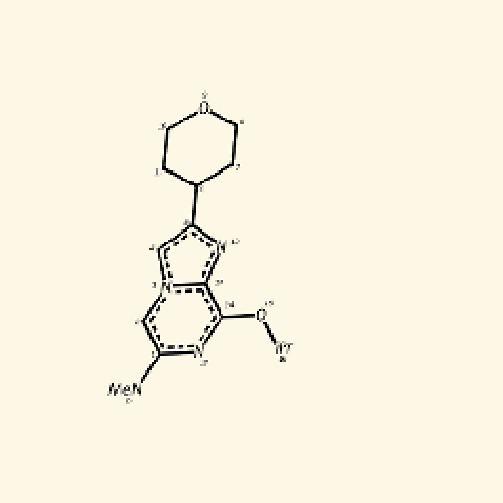 CNc1cn2cc(C3CCOCC3)nc2c(OC(C)C)n1